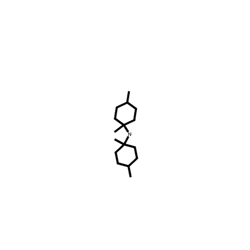 CC1CCC(C)([N]C2(C)CCC(C)CC2)CC1